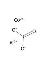 O=C([O-])[O-].[Al+3].[Co+2]